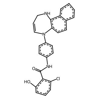 O=C(Nc1ccc(N2C=CCNc3c2ccc2ccccc32)cc1)c1c(O)cccc1Cl